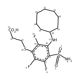 NS(=O)(=O)c1c(F)c(F)c(SCCC(=O)O)c(F)c1NC1CCCCCCC1